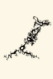 NCCCOc1ccc(C(=O)Nc2ccc(S(=O)(=O)N3CCN(c4cc(C(F)(F)F)cc(Cl)n4)CC3)cc2)cc1OCCCN